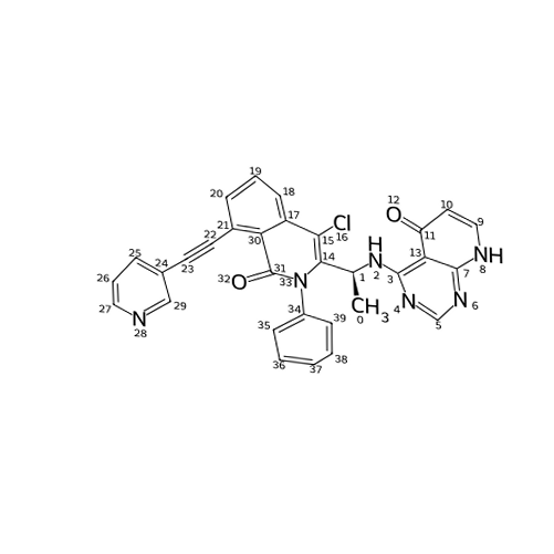 C[C@H](Nc1ncnc2[nH]ccc(=O)c12)c1c(Cl)c2cccc(C#Cc3cccnc3)c2c(=O)n1-c1ccccc1